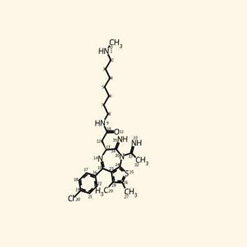 CNCCCCCCCNC(=O)C[C@@H]1N=C(c2ccc(Cl)cc2)c2c(sc(C)c2C)N(C(C)=N)C1=N